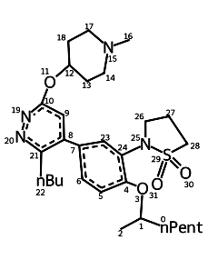 CCCCCC(C)Oc1ccc(-c2cc(OC3CCN(C)CC3)nnc2CCCC)cc1N1CCCS1(=O)=O